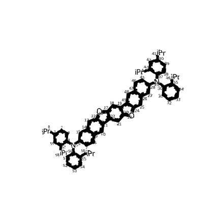 CC(C)c1ccc(N(c2ccc3cc4c(cc3c2)oc2cc3c(cc24)oc2cc4cc(N(c5ccccc5C(C)C)c5ccc(C(C)C)cc5C(C)C)ccc4cc23)c2ccccc2C(C)C)c(C(C)C)c1